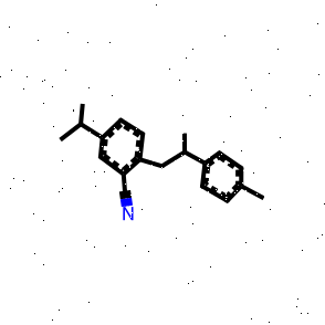 Cc1ccc(C(C)Cc2ccc(C(C)C)cc2C#N)cc1